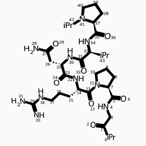 CC(C)C(=O)CNC(=O)[C@@H]1CCCN1C(=O)[C@H](CCCNC(=N)N)NC(=O)[C@H](CC(N)=O)NC(=O)[C@@H](NC(=O)[C@@H]1CCCN1C(C)C)C(C)C